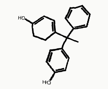 CC(C1=CC=C(O)CC1)(c1ccccc1)c1ccc(O)cc1